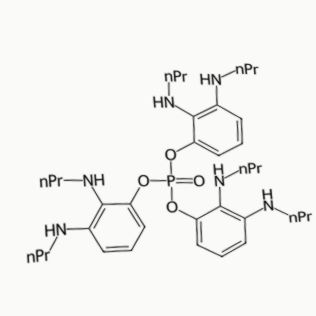 CCCNc1cccc(OP(=O)(Oc2cccc(NCCC)c2NCCC)Oc2cccc(NCCC)c2NCCC)c1NCCC